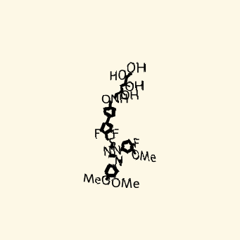 COc1cc(-n2c(N(C)c3ccc(OC)c(OC)c3)cnc2SCc2c(F)cc(-c3ccc(C(=O)NC[C@H](O)C[C@H](O)[C@H](O)CO)cc3)cc2F)ccc1F